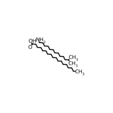 CC(C)CCCCCCCCCCCN.CCCCCCCCCCCCCCCCCC(=O)O